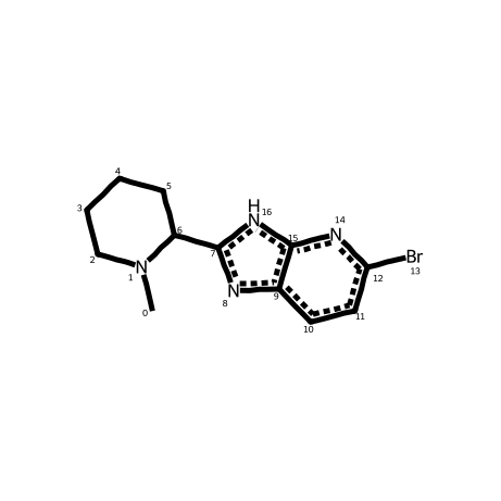 CN1CCCCC1c1nc2ccc(Br)nc2[nH]1